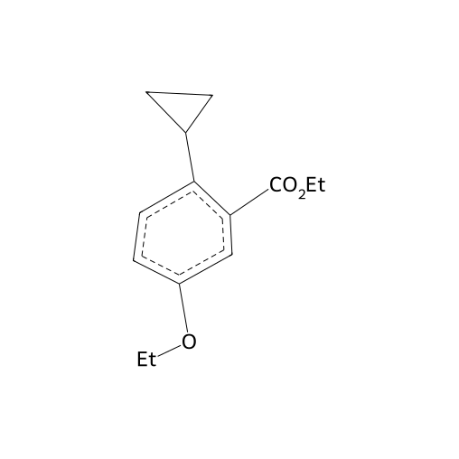 CCOC(=O)c1cc(OCC)ccc1C1CC1